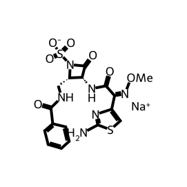 CO/N=C(\C(=O)N[C@H]1C(=O)N(S(=O)(=O)[O-])[C@H]1CNC(=O)c1ccccc1)c1csc(N)n1.[Na+]